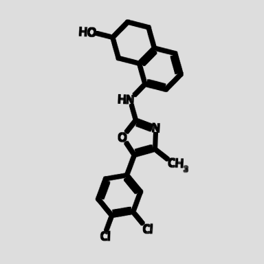 Cc1nc(Nc2cccc3c2CC(O)CC3)oc1-c1ccc(Cl)c(Cl)c1